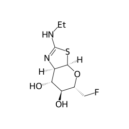 CCNC1=N[C@@H]2[C@@H](O)[C@H](O)[C@@H](CF)O[C@@H]2S1